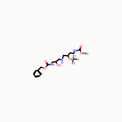 CC[Si](CC)(CC)OC(CCNC(=O)OC(C)(C)C)CNCC(O)CNC(=O)OCc1ccccc1